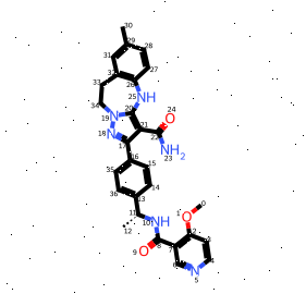 COc1ccncc1C(=O)N[C@H](C)c1ccc(-c2nn3c(c2C(N)=O)Nc2ccc(C)cc2CC3)cc1